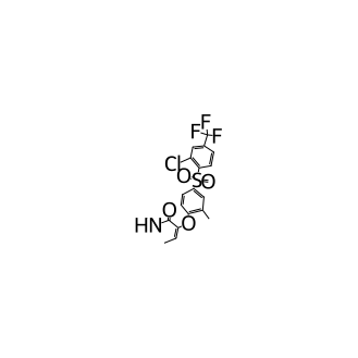 CC=C(Oc1ccc(S(=O)(=O)c2ccc(C(F)(F)F)cc2Cl)cc1C)C(=O)NC